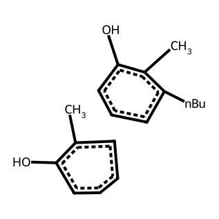 CCCCc1cccc(O)c1C.Cc1ccccc1O